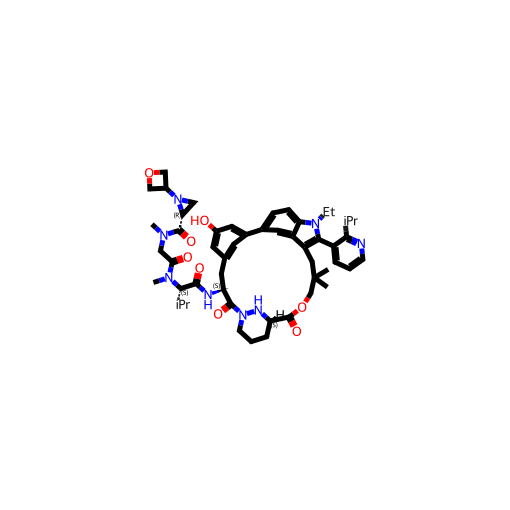 CCn1c(-c2cccnc2C(C)C)c2c3cc(ccc31)-c1cc(O)cc(c1)C[C@H](NC(=O)[C@H](C(C)C)N(C)C(=O)CN(C)C(=O)[C@H]1CN1C1COC1)C(=O)N1CCC[C@H](N1)C(=O)OCC(C)(C)C2